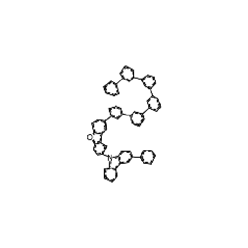 c1ccc(-c2cccc(-c3cccc(-c4cccc(-c5cccc(-c6cccc(-c7ccc8oc9ccc(-n%10c%11ccccc%11c%11cc(-c%12ccccc%12)ccc%11%10)cc9c8c7)c6)c5)c4)c3)c2)cc1